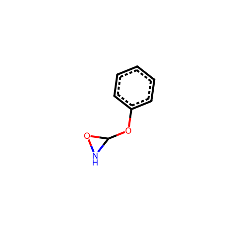 c1ccc(OC2NO2)cc1